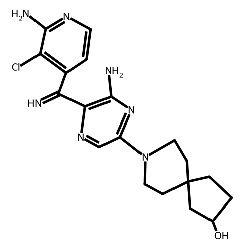 N=C(c1ccnc(N)c1Cl)c1ncc(N2CCC3(CCC(O)C3)CC2)nc1N